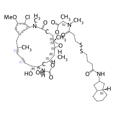 COc1cc2cc(c1Cl)N(C)C(=O)C[C@H](OC(=O)[C@H](C)N(C)C(=O)CCSSCCCC(=O)NC1CC3CCCC[C@H]3C1)[C@]1(C)O[C@H]1[C@H](C)[C@@H]1C[C@@](O)(NC(=O)O1)[C@H](O)/C=C/C=C(\C)C2